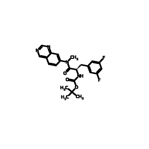 CN(C(=O)[C@H](Cc1cc(F)cc(F)c1)NC(=O)OC(C)(C)C)c1ccc2cncnc2c1